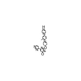 Cc1cc(N2CCNCC2)ccc1N1CCC(Oc2nc(-c3ccncn3)cc(=O)n2C)CC1